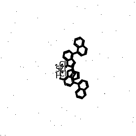 CC1=Cc2c(-c3cccc4ccccc34)ccc(C)c2[CH]1[Zr]([Cl])([Cl])([CH]1C(C2C=CCC2)=Cc2c(-c3cccc4ccccc34)cccc21)[SiH](C)C